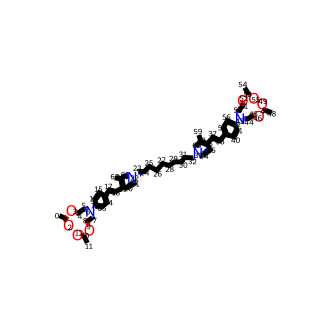 CC(=O)OCCN(CCOC(C)=O)c1ccc(/C=C/c2cc[n+](CCCCCCCCCC[n+]3ccc(/C=C/c4ccc(N(CCOC(C)=O)CCOC(C)=O)cc4)c(C)c3)cc2C)cc1